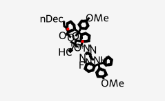 C#C[C@]1(COC(=O)CCCCCCCCCCCCC)O[C@@H](n2cnc3c(NC(c4ccccc4)(c4ccccc4)c4ccc(OC)cc4)nc(F)nc32)C[C@@H]1OC(c1ccccc1)(c1ccccc1)c1ccc(OC)cc1